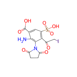 Nc1c(C(=O)O)cc(S(=O)(=O)O)c(C(=O)CI)c1N1C(=O)CCC1=O